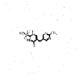 Cc1ncc(CC2=CNC(S(=O)(=O)O)NC2=O)cn1